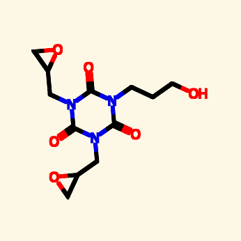 O=c1n(CCCO)c(=O)n(CC2CO2)c(=O)n1CC1CO1